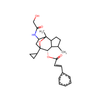 CC1CCC2C1[C@H](OC(=O)/C=C/c1ccccc1)C1(C3CC3)CC(NC(=O)CO)C2(C)O1